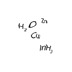 O.[Cu].[InH3].[Zn]